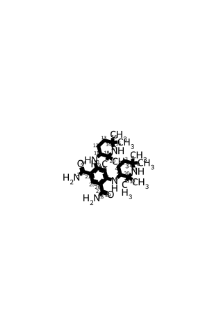 CC1(C)CCC(Nc2cc(NC3CCC(C)(C)NC3(C)C)c(C(N)=O)cc2C(N)=O)C(C)(C)N1